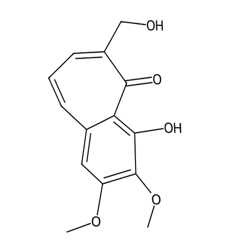 COc1cc2cccc(CO)c(=O)c2c(O)c1OC